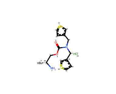 CCCC[C@@H](N)COC(=O)N(Cc1ccsc1)Cc1ccsc1.Cl